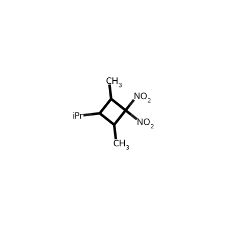 CC(C)C1C(C)C([N+](=O)[O-])([N+](=O)[O-])C1C